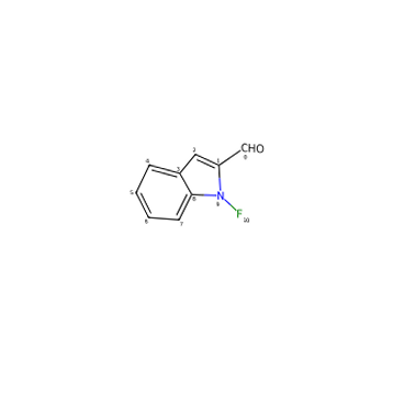 O=Cc1cc2ccccc2n1F